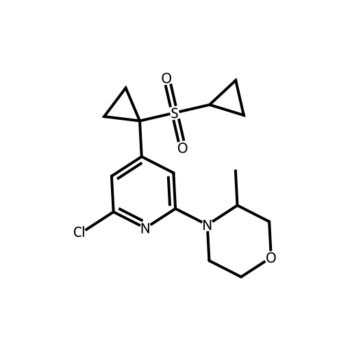 CC1COCCN1c1cc(C2(S(=O)(=O)C3CC3)CC2)cc(Cl)n1